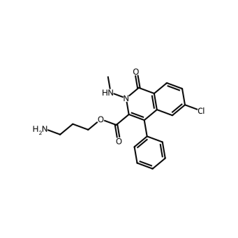 CNn1c(C(=O)OCCCN)c(-c2ccccc2)c2cc(Cl)ccc2c1=O